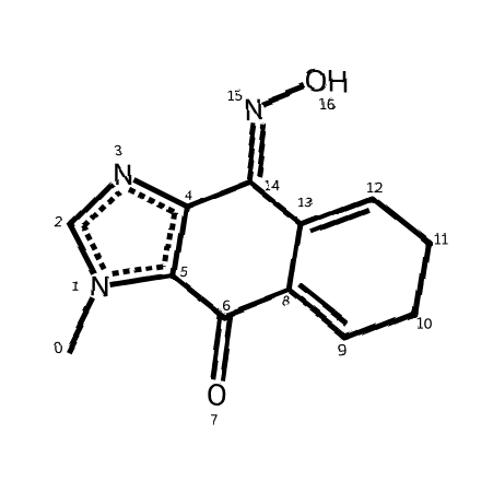 Cn1cnc2c1C(=O)C1=CCCC=C1C2=NO